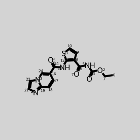 CCOC(=O)NC(=O)c1ccsc1NC(=O)c1ccc2nccn2c1